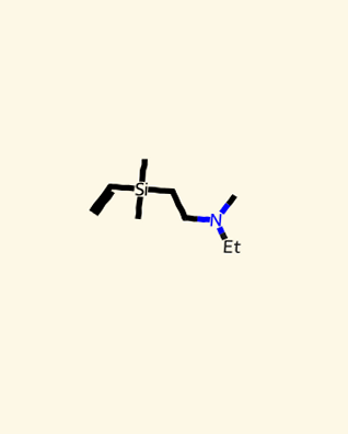 C=C[Si](C)(C)CCN(C)CC